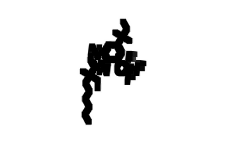 CCCCCCC(C)(CC)c1cnc2cc(C(C)(C)CC)cc(OC(F)(F)F)c2n1